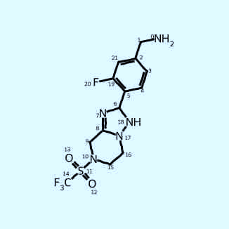 NCc1ccc(C2N=C3CN(S(=O)(=O)C(F)(F)F)CCN3N2)c(F)c1